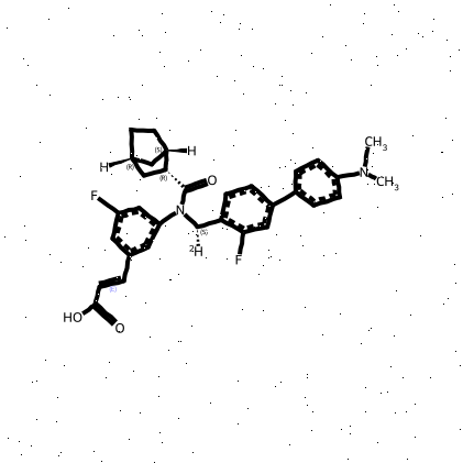 [2H][C@@H](c1ccc(-c2ccc(N(C)C)cc2)cc1F)N(C(=O)[C@@H]1C[C@@H]2CC[C@H]1C2)c1cc(F)cc(/C=C/C(=O)O)c1